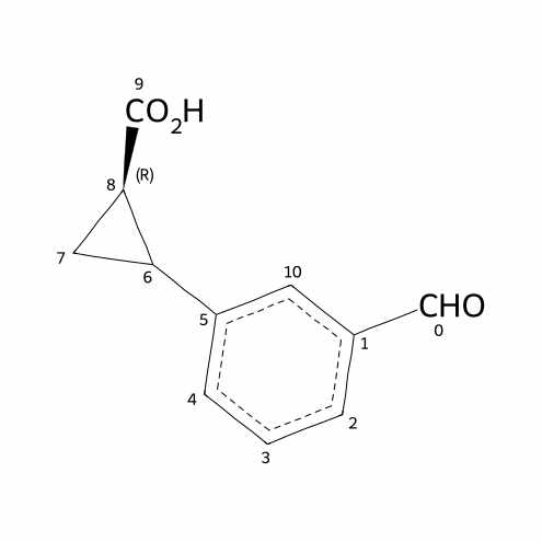 O=Cc1cccc(C2C[C@H]2C(=O)O)c1